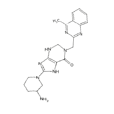 Cc1nc(CN2CNc3nc(N4CCCC(N)C4)[nH]c3C2=O)nc2ccccc12